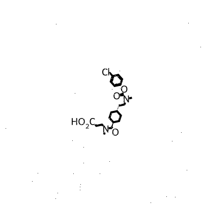 CN(CC[C@H]1CC[C@H](C(=O)N(C)CCC(=O)O)CC1)C(=O)Oc1ccc(Cl)cc1